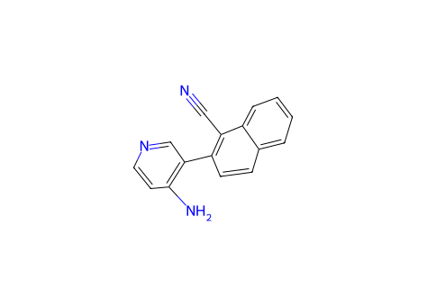 N#Cc1c(-c2cnccc2N)ccc2ccccc12